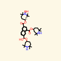 CC1(C)CCC(OC(=O)c2cc(C(=O)OC3CCC(C)(C)N(O)C(C)(C)C3)cc3ccc(C(O)OC4CCC(C)(C)NC(C)(C)C4)cc23)CC(C)(C)N1